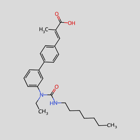 CCCCCCCNC(=O)N(CC)c1cccc(-c2ccc(/C=C(\C)C(=O)O)cc2)c1